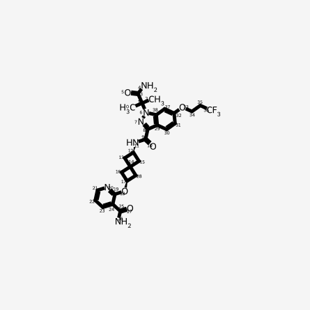 CC(C)(C(N)=O)n1nc(C(=O)N[C@H]2CC3(C2)C[C@H](Oc2ncccc2C(N)=O)C3)c2ccc(OCCC(F)(F)F)cc21